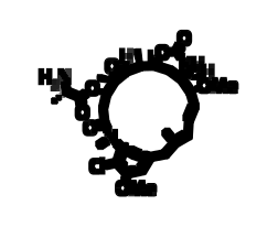 COc1cc2cc(c1Cl)N(C)C(=O)C[C@H](OC(=O)[C@H](C)N)[C@]1(C)O[C@@H]1[C@@H](C)[C@@H]1C[C@@](O)(NC(=O)O1)[C@H](OC)/C=C/C=C(\C)C2